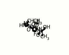 CCn1c(CO)nn(-c2nc(O[C@@H](C)C(F)(F)F)c(C(=O)Nc3c[nH]nc3C)cc2F)c1=O